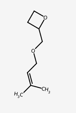 CC(C)=CCOCC1CCO1